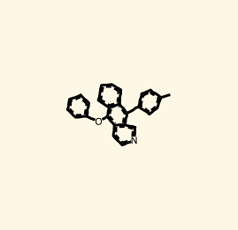 Cc1ccc(-c2c3ccccc3c(Oc3ccccc3)c3ccncc23)cc1